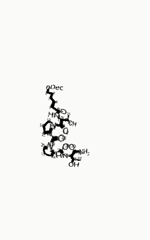 CCCCCCCCCCCCCCCC(=O)N[C@H](C(=O)N1CCC[C@H]1C(=O)N1CCC[C@H]1C(=O)N[C@H](C(N)=O)[C@@H](C)O)[C@@H](C)O